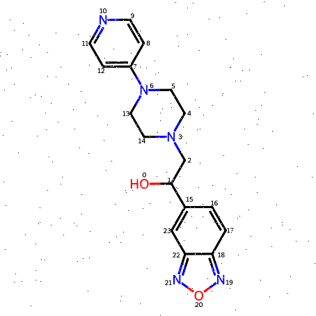 OC(CN1CCN(c2ccncc2)CC1)c1ccc2nonc2c1